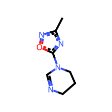 Cc1noc(N2C=NCCC2)n1